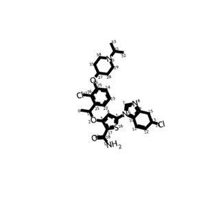 CC(Oc1cc(-n2cnc3c2C=CC(Cl)C3)sc1C(N)=O)c1cccc(OC2CCN(C(C)C)CC2)c1Cl